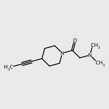 CC#CC1CCN(C(=O)CN(C)C)CC1